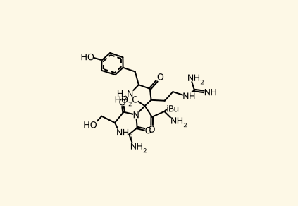 CCC(C)C(N)C(=O)C(C(=O)O)(C(CCNC(=N)N)C(=O)C(N)Cc1ccc(O)cc1)N(C(=O)CN)C(=O)C(N)CO